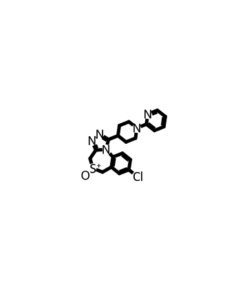 [O-][S+]1Cc2cc(Cl)ccc2-n2c(nnc2C2CCN(c3ccccn3)CC2)C1